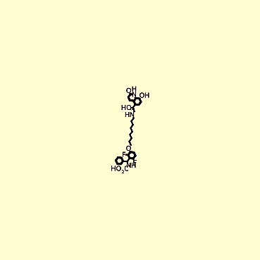 O=C(O)NC(c1ccccc1)c1c(F)ccc(OCCCCCCCCCNC[C@@H](O)c2ccc(O)c3[nH]c(=O)ccc23)c1F